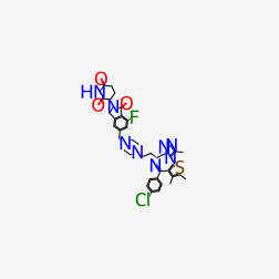 Cc1sc2c(c1C)C(c1ccc(Cl)cc1)=N[C@@H](CCN1CCN(Cc3cc(F)c4c(c3)CN(C3CCC(=O)NC3=O)C4=O)CC1)c1nnc(C)n1-2